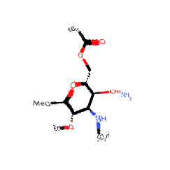 CCO[C@@H]1[C@@H](OC)O[C@H](COC(=O)C(C)(C)C)[C@@H](O)[C@H]1NS(=O)(=O)O.N